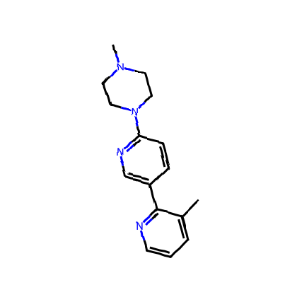 Cc1cccnc1-c1ccc(N2CCN(C)CC2)nc1